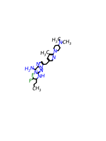 CCCC(Nc1nc(N)c2ncc(Cc3cnc(N4CCC(N(C)C)CC4)c(C)c3)n2n1)C(F)F